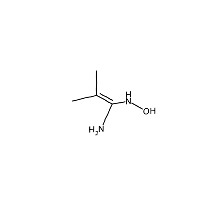 CC(C)=C(N)NO